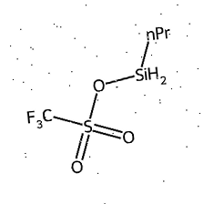 CCC[SiH2]OS(=O)(=O)C(F)(F)F